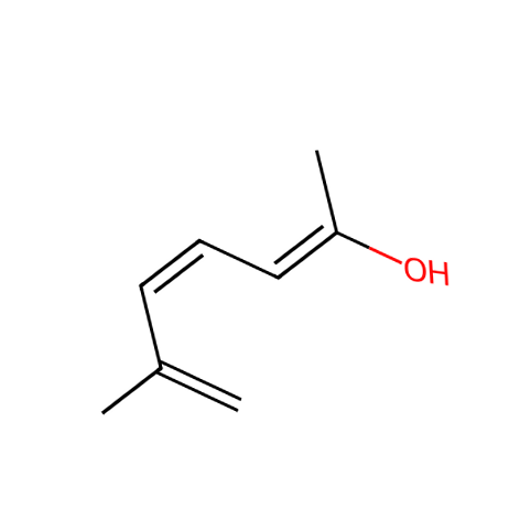 C=C(C)/C=C\C=C(/C)O